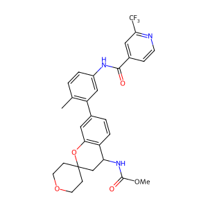 COC(=O)NC1CC2(CCOCC2)Oc2cc(-c3cc(NC(=O)c4ccnc(C(F)(F)F)c4)ccc3C)ccc21